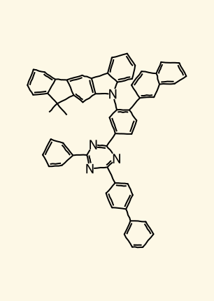 CC1(C)c2ccccc2-c2cc3c4ccccc4n(-c4cc(-c5nc(-c6ccccc6)nc(-c6ccc(-c7ccccc7)cc6)n5)ccc4-c4ccc5ccccc5c4)c3cc21